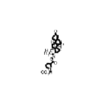 C/C(=N\OC(=O)C1CCCN(C(=O)O)C1)[C@H]1CC[C@H]2[C@@H]3CCC4=CC(=O)CC[C@]4(C)[C@H]3CC[C@]12C